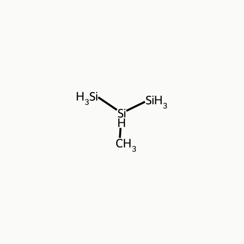 C[SiH]([SiH3])[SiH3]